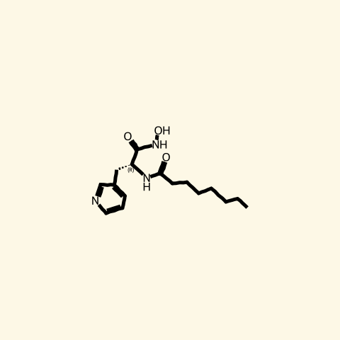 CCCCCCCC(=O)N[C@H](Cc1cccnc1)C(=O)NO